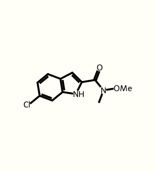 CON(C)C(=O)c1cc2ccc(Cl)cc2[nH]1